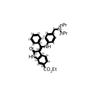 CCCN(CCC)Cc1ccc(NC(=C2C(=O)Nc3cc(C(=O)OCC)ccc32)c2ccccc2)cc1